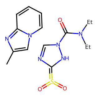 CCN(CC)C(=O)n1cnc(=S(=O)=O)[nH]1.Cc1cn2ccccc2n1